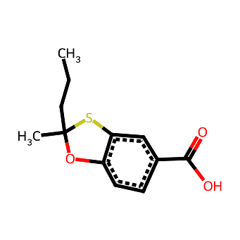 CCCC1(C)Oc2ccc(C(=O)O)cc2S1